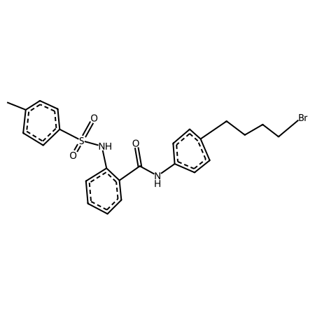 Cc1ccc(S(=O)(=O)Nc2ccccc2C(=O)Nc2ccc(CCCCBr)cc2)cc1